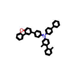 Cc1ccccc1-c1ccc(N(c2ccc(-c3ccccc3)cc2)c2ccc(-c3ccc4oc5ccccc5c4c3)cc2)cc1C